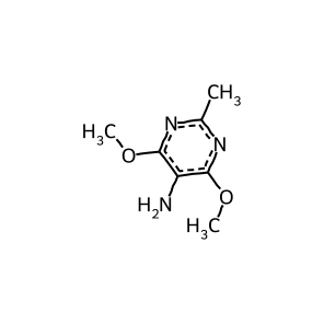 COc1nc(C)nc(OC)c1N